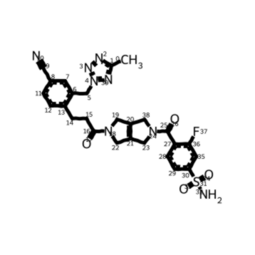 Cc1nnn(Cc2cc(C#N)ccc2CCC(=O)N2CC3=C(C2)CN(C(=O)c2ccc(S(N)(=O)=O)cc2F)C3)n1